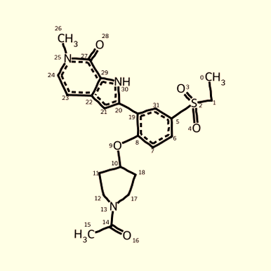 CCS(=O)(=O)c1ccc(OC2CCN(C(C)=O)CC2)c(-c2cc3ccn(C)c(=O)c3[nH]2)c1